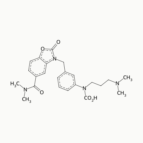 CN(C)CCCN(C(=O)O)c1cccc(Cn2c(=O)oc3ccc(C(=O)N(C)C)cc32)c1